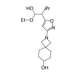 CCOC(O)C(c1cc(N2CC3(CCC(O)CC3)C2)no1)C(C)C